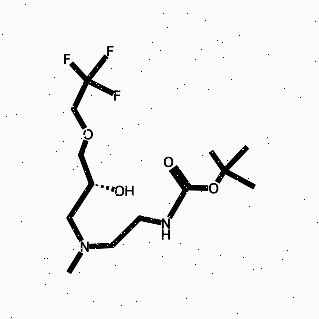 CN(CCNC(=O)OC(C)(C)C)C[C@@H](O)COCC(F)(F)F